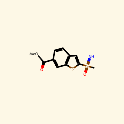 COC(=O)c1ccc2cc(S(C)(=N)=O)sc2c1